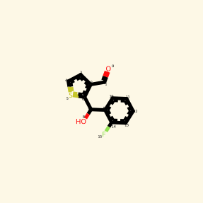 O=Cc1ccsc1C(O)c1ccccc1F